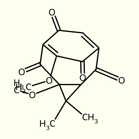 COC1=C2C(=O)C=C(C1=O)C(=O)C1C(C)(C)C1(OC)C2=O